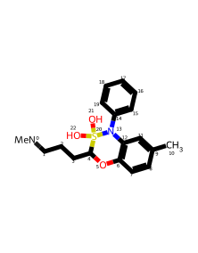 CNCCCC1Oc2ccc(C)cc2N(c2ccccc2)S1(O)O